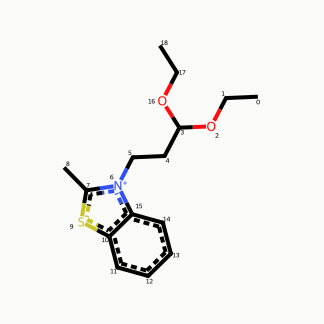 CCOC(CC[n+]1c(C)sc2ccccc21)OCC